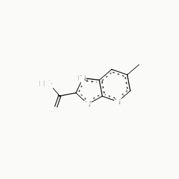 Cc1cnc2nc(C(=O)O)[nH]c2c1